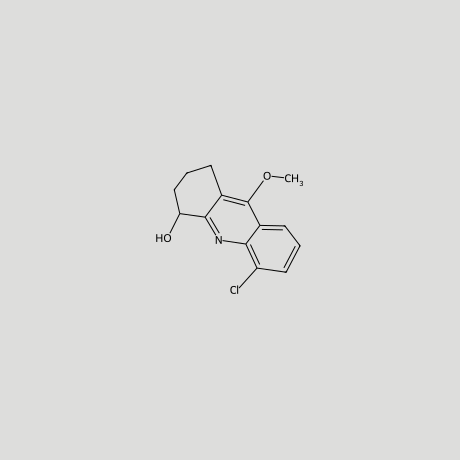 COc1c2c(nc3c(Cl)cccc13)C(O)CCC2